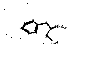 CC(=O)NC(CO)Cc1ccccc1